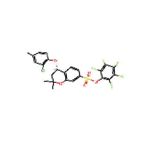 Cc1ccc(O[C@H]2CC(C)(C)Oc3cc(S(=O)(=O)Oc4c(F)c(F)c(F)c(F)c4F)ccc32)c(Cl)c1